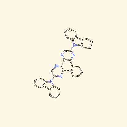 c1ccc2c(c1)c1nc(-n3c4ccccc4c4ccccc43)cnc1c1ncc(-n3c4ccccc4c4ccccc43)nc21